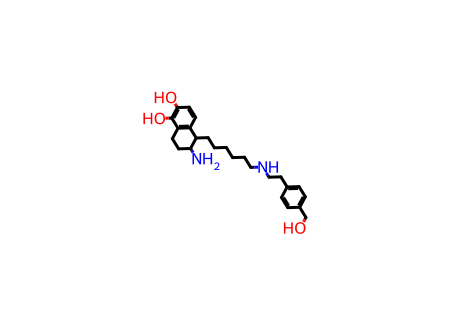 NC1CCc2c(ccc(O)c2O)C1CCCCCCNCCc1ccc(CO)cc1